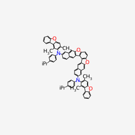 Cc1cc2oc3ccccc3c2c(C)c1N(c1ccc(C(C)C)cc1)c1ccc2cc3c(cc2c1)oc1ccc2oc4cc5cc(N(c6ccc(C(C)C)cc6)c6c(C)cc7oc8ccccc8c7c6C)ccc5cc4c2c13